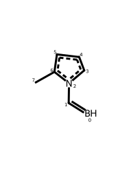 B=Cn1cccc1C